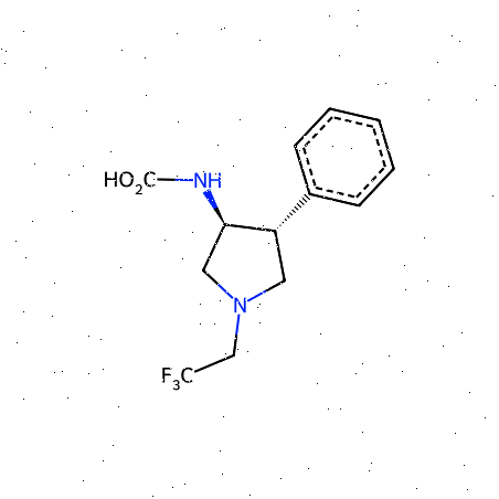 O=C(O)N[C@@H]1CN(CC(F)(F)F)C[C@H]1c1ccccc1